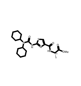 COC(=O)[C@H](C)NC(=O)c1csc(NC(=O)N(C2CCCCC2)C2CCCCC2)n1